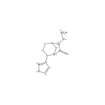 O=C1N2CC(CCC2c2ccon2)N1OS(=O)(=O)O